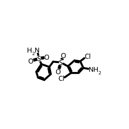 Nc1cc(Cl)c(S(=O)(=O)Cc2ccccc2S(N)(=O)=O)cc1Cl